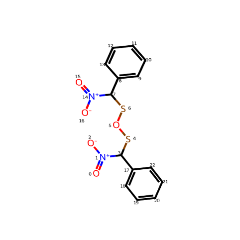 O=[N+]([O-])C(SOSC(c1ccccc1)[N+](=O)[O-])c1ccccc1